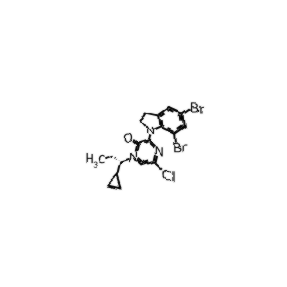 CC[C@@H](C1CC1)n1cc(Cl)nc(N2CCc3cc(Br)cc(Br)c32)c1=O